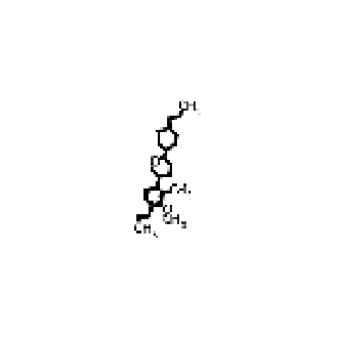 CCCc1ccc(C2CCC(C3CCC(CCC)CC3)OC2)c(C)c1OC